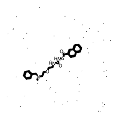 CN(CCOCCNC(=O)NSC(=O)c1ccc2ccccc2c1)Cc1ccccc1